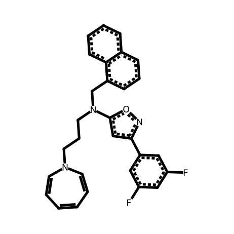 Fc1cc(F)cc(-c2cc(N(CCCN3C=CC=CC=C3)Cc3cccc4ccccc34)on2)c1